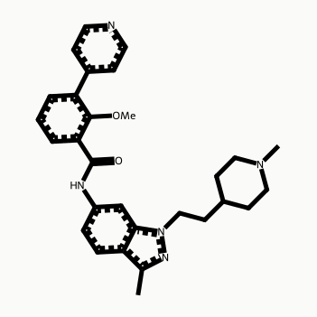 COc1c(C(=O)Nc2ccc3c(C)nn(CCC4CCN(C)CC4)c3c2)cccc1-c1ccncc1